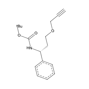 C#CCOCC[C@@H](NC(=O)OC(C)(C)C)c1ccccc1